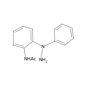 CC(=O)Nc1ccccc1N(N)c1ccccc1